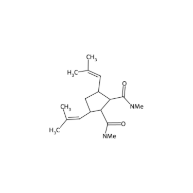 CNC(=O)C1C(C=C(C)C)CC(C=C(C)C)C1C(=O)NC